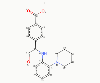 COC(=O)c1ccc(C(C=O)Nc2ccccc2N2CCCCC2)cc1